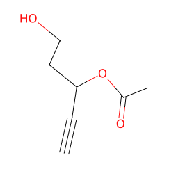 C#CC(CCO)OC(C)=O